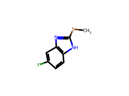 CSc1nc2cc(F)ccc2[nH]1